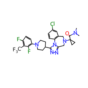 CN(C)C(=O)C1(N2Cc3cc(Cl)ccc3-n3c(nnc3C3CCN(c4ccc(F)c(C(F)(F)F)c4F)CC3)C2)CC1